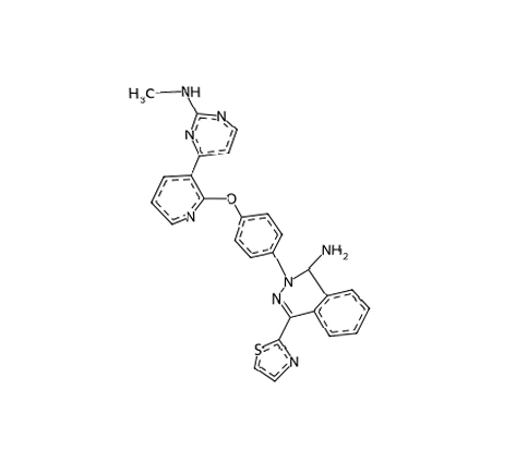 CNc1nccc(-c2cccnc2Oc2ccc(N3N=C(c4nccs4)c4ccccc4C3N)cc2)n1